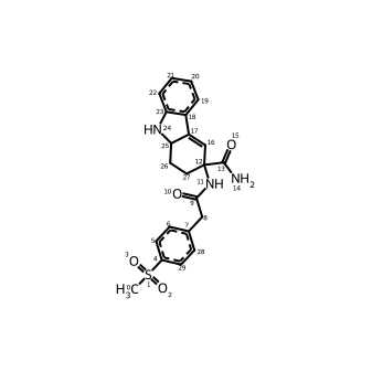 CS(=O)(=O)c1ccc(CC(=O)NC2(C(N)=O)C=C3c4ccccc4NC3CC2)cc1